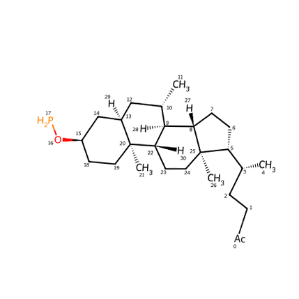 CC(=O)CC[C@@H](C)[C@H]1CC[C@H]2[C@@H]3[C@@H](C)C[C@@H]4C[C@H](OP)CC[C@]4(C)[C@H]3CC[C@]12C